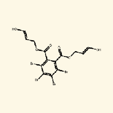 O=C(OCC=CO)c1c(Br)c(Br)c(Br)c(Br)c1C(=O)OCC=CO